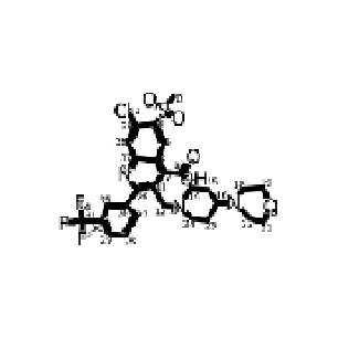 CS(=O)(=O)c1cc2c(C(=O)O)c(CN3CCC(N4CCOCC4)CC3)c(-c3cccc(C(F)(F)F)c3)nc2cc1Cl